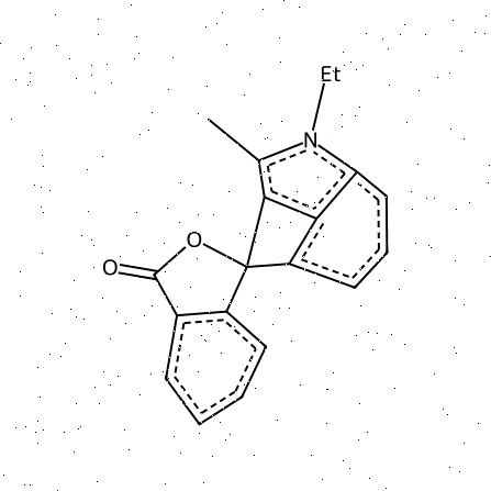 CCn1c(C)c2c3c(cccc31)C21OC(=O)c2ccccc21